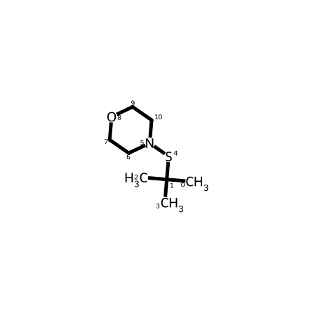 CC(C)(C)SN1CCOCC1